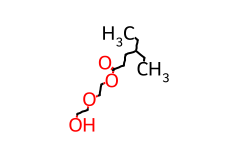 CCC(CC)CCC(=O)OCCOCCO